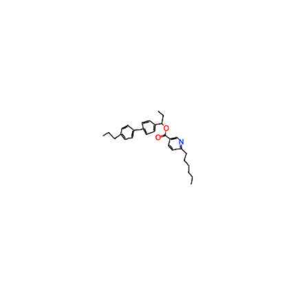 CCCCCCc1ccc(C(=O)OC(CC)c2ccc(-c3ccc(CCC)cc3)cc2)cn1